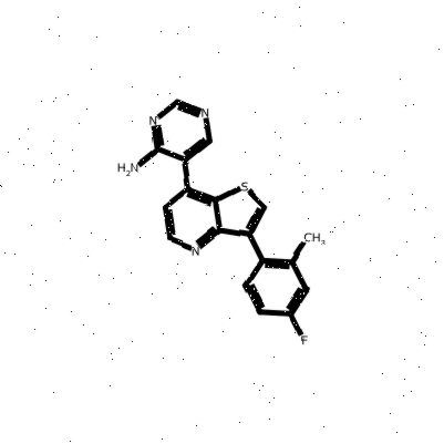 Cc1cc(F)ccc1-c1csc2c(-c3cncnc3N)ccnc12